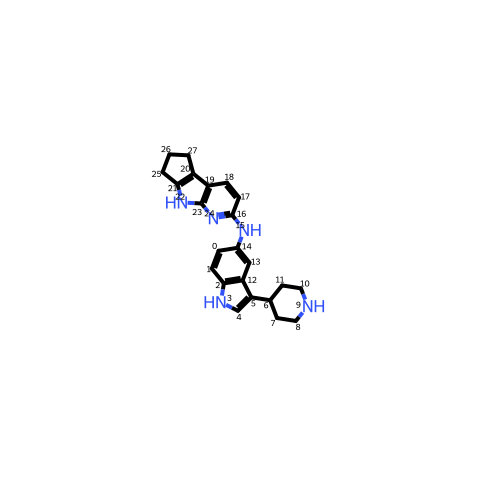 c1cc2[nH]cc(C3CCNCC3)c2cc1Nc1ccc2c3c([nH]c2n1)CCC3